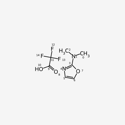 CN(C)c1ncco1.O=C(O)C(F)(F)F